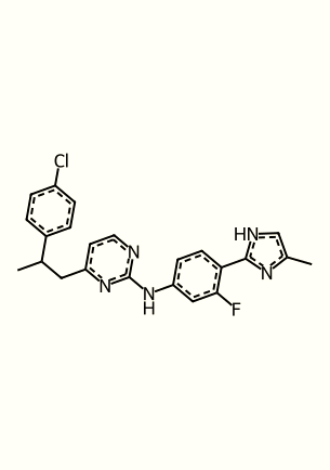 Cc1c[nH]c(-c2ccc(Nc3nccc(CC(C)c4ccc(Cl)cc4)n3)cc2F)n1